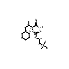 CC(CC1CCCCC1)N(NC(=O)OCC[Si](C)(C)C)C(=O)O